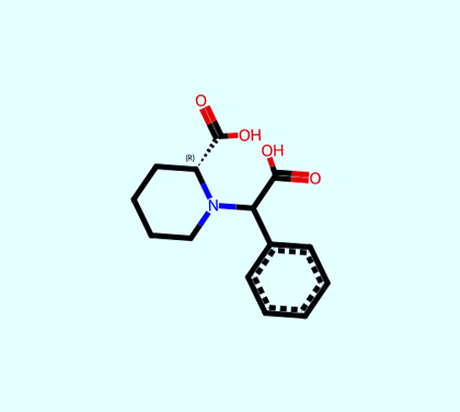 O=C(O)C(c1ccccc1)N1CCCC[C@@H]1C(=O)O